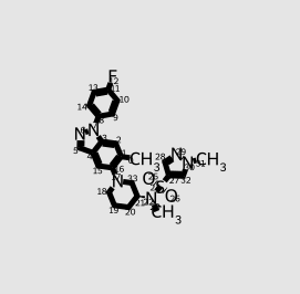 Cc1cc2c(cnn2-c2ccc(F)cc2)cc1N1CCC[C@@H](N(C)S(=O)(=O)c2cnn(C)c2)C1